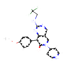 COc1ccc(-c2c(=O)n(-c3ccncc3)cc3cnc(NCC(F)(F)F)nc23)cc1